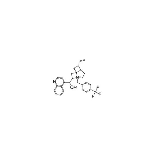 C=C[C@H]1C[C@]23CC(C(O)c4ccnc5ccccc45)[N+]2(Cc2ccc(C(F)(F)F)cc2)CCC13